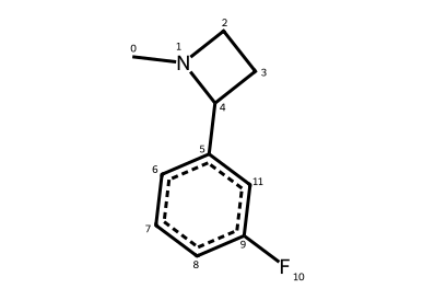 CN1CCC1c1cccc(F)c1